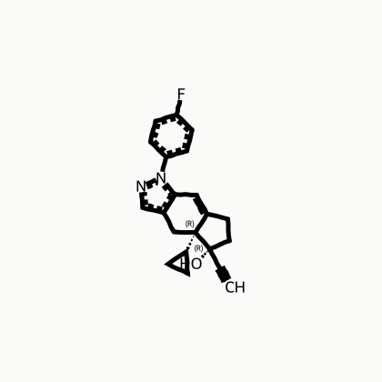 C#C[C@]1(O)CCC2=Cc3c(cnn3-c3ccc(F)cc3)C[C@@]21C1CC1